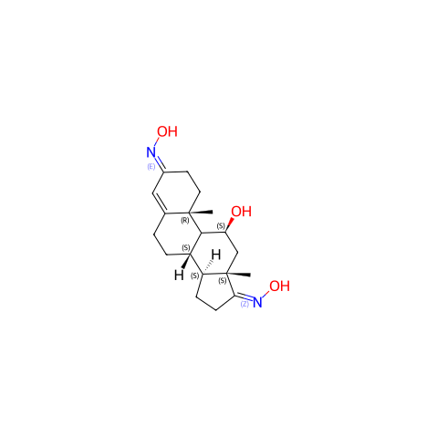 C[C@]12CC/C(=N\O)C=C1CC[C@@H]1C2[C@@H](O)C[C@]2(C)/C(=N\O)CC[C@@H]12